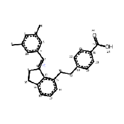 Cc1cc(C)cc(/C=C2\CCc3cccc(CCc4ccc(C(=O)O)cc4)c32)c1